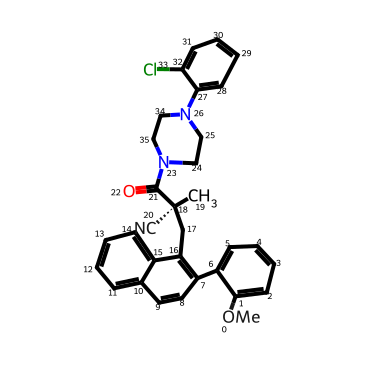 COc1ccccc1-c1ccc2ccccc2c1C[C@@](C)(C#N)C(=O)N1CCN(c2ccccc2Cl)CC1